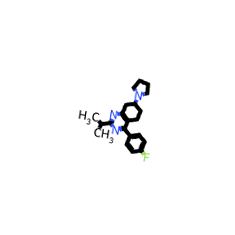 CC(C)c1nc2c(c(-c3ccc(F)cc3)n1)CCC(N1CCCC1)C2